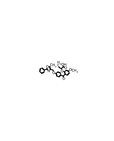 CCC(Oc1cc(OC)ccc1C(=O)c1ccc(OCc2nc(-c3ccccc3)oc2C)cc1)C(=O)O